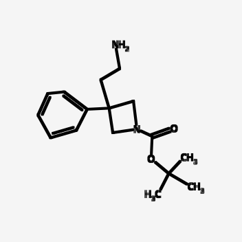 CC(C)(C)OC(=O)N1CC(CCN)(c2ccccc2)C1